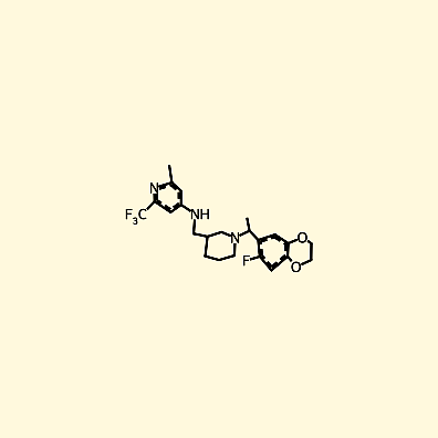 Cc1cc(NCC2CCCN(C(C)c3cc4c(cc3F)OCCO4)C2)cc(C(F)(F)F)n1